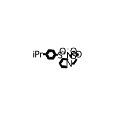 CC(C)c1ccc([S+]([O-])C2=CC=CN3CCS(=O)(=O)N=C23)cc1